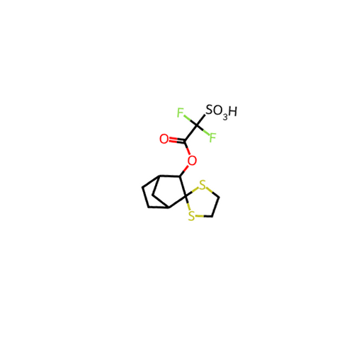 O=C(OC1C2CCC(C2)C12SCCS2)C(F)(F)S(=O)(=O)O